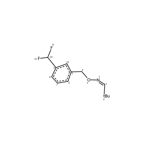 CC(C)(C)/[C]=N\OCc1cccc(C(F)F)c1